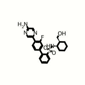 Nc1cnc(-c2ccc(-c3ccccc3S(=O)(=O)N[C@@H]3CCCC[C@@H]3CO)cc2F)cn1